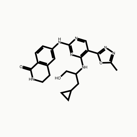 Cc1nnc(-c2cnc(Nc3ccc4c(c3)CCNC4=O)nc2NC(CO)CC2CC2)o1